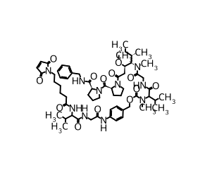 CC[C@H](C)[C@@H]([C@@H](CC(=O)N1CCC[C@H]1C(=O)N1CCC[C@H]1C(=O)NCc1ccccc1)OC)N(C)C(=O)CNC(=O)C(C(C)C)N(C)C(=O)OCc1ccc(NC(=O)CNC(=O)C(NC(=O)CCCCCN2C(=O)C=CC2=O)C(C)C)cc1